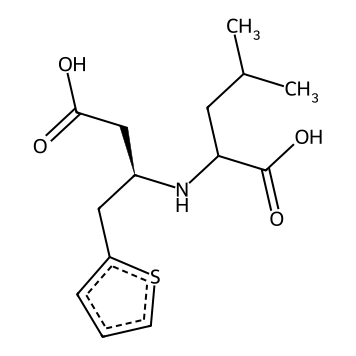 CC(C)CC(N[C@H](CC(=O)O)Cc1cccs1)C(=O)O